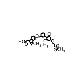 Cc1cc(OCCCS(C)(=O)=O)cc(C)c1-c1cccc(COc2ccc3c(c2)C2(C)CC2C3CC(=O)O)c1